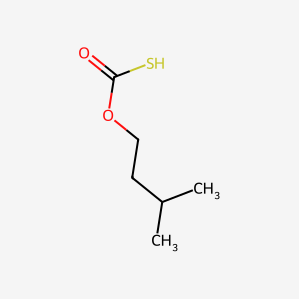 CC(C)CCOC(=O)S